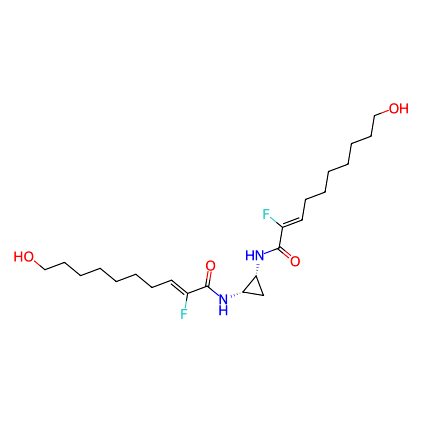 O=C(N[C@H]1C[C@H]1NC(=O)C(F)=CCCCCCCCO)C(F)=CCCCCCCCO